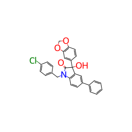 O=C1N(Cc2ccc(Cl)cc2)c2ccc(-c3ccccc3)cc2C1(O)c1ccc2c(c1)OCO2